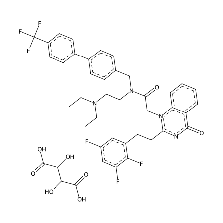 CCN(CC)CCN(Cc1ccc(-c2ccc(C(F)(F)F)cc2)cc1)C(=O)Cn1c(CCc2cc(F)cc(F)c2F)nc(=O)c2ccccc21.O=C(O)C(O)C(O)C(=O)O